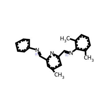 Cc1cc(/C=N/c2ccccc2)nc(/C=N/c2c(C)cccc2C)c1